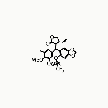 C=C[C@H]1COC(=O)C1C(c1cc(C)c(OC)c(OC)c1)c1cc2c(cc1OS(=O)(=O)C(F)(F)F)OCO2